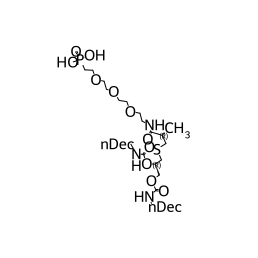 CCCCCCCCCCNC(=O)OC[C@H](CSC[C@H](C)C(=O)NCCOCCOCCOCCP(=O)(O)O)OC(=O)NCCCCCCCCCC